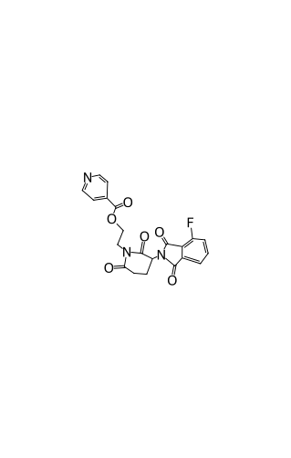 O=C(OCCN1C(=O)CCC(N2C(=O)c3cccc(F)c3C2=O)C1=O)c1ccncc1